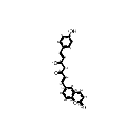 O=C(C=Cc1ccc(O)cc1)CC(=O)C=Cc1ccc2oc(=O)ccc2c1